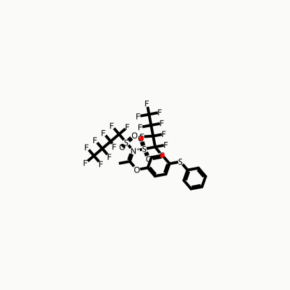 CC(Oc1ccc(Sc2ccccc2)cc1)=[N+](S(=O)(=O)C(F)(F)C(F)(F)C(F)(F)C(F)(F)F)S(=O)(=O)C(F)(F)C(F)(F)C(F)(F)C(F)(F)F